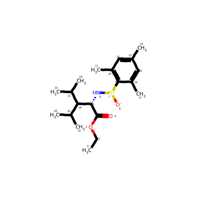 CCOC(=O)[C@@H](N[S+]([O-])c1c(C)cc(C)cc1C)C(C(C)C)C(C)C